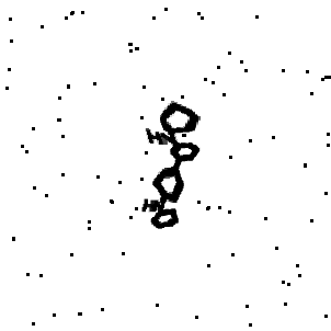 C1=CCCC(NC2C=CC(C3=CCCC(NC4C=CCCC4)=C3)=CC2)=C1